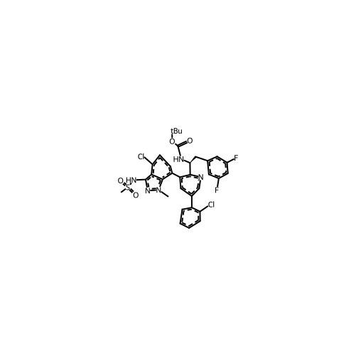 Cn1nc(NS(C)(=O)=O)c2c(Cl)ccc(-c3cc(-c4ccccc4Cl)cnc3[C@H](Cc3cc(F)cc(F)c3)NC(=O)OC(C)(C)C)c21